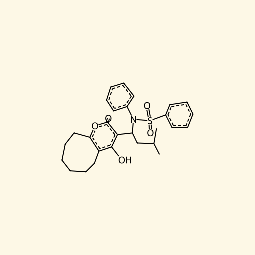 CC(C)CC(c1c(O)c2c(oc1=O)CCCCCC2)N(c1ccccc1)S(=O)(=O)c1ccccc1